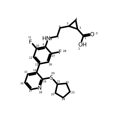 O=C(O)C1CC1CCNc1c(F)cc(-c2cccnc2SC2CCCC2)cc1F